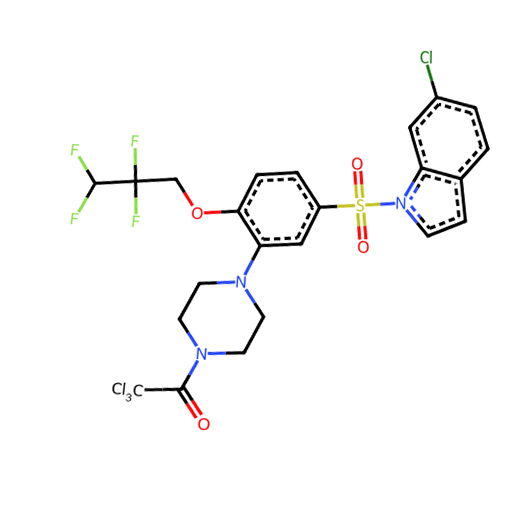 O=C(N1CCN(c2cc(S(=O)(=O)n3ccc4ccc(Cl)cc43)ccc2OCC(F)(F)C(F)F)CC1)C(Cl)(Cl)Cl